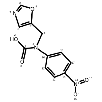 O=C(O)N(Cc1cnco1)c1ccc([N+](=O)[O-])cc1